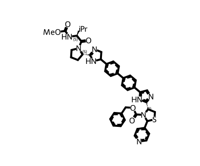 COC(=O)N[C@H](C(=O)N1CCC[C@H]1C1=NCC(c2ccc(-c3ccc(-c4cnc([C@@H]5CSC(c6ccncc6)N5C(=O)OCc5ccccc5)[nH]4)cc3)cc2)N1)C(C)C